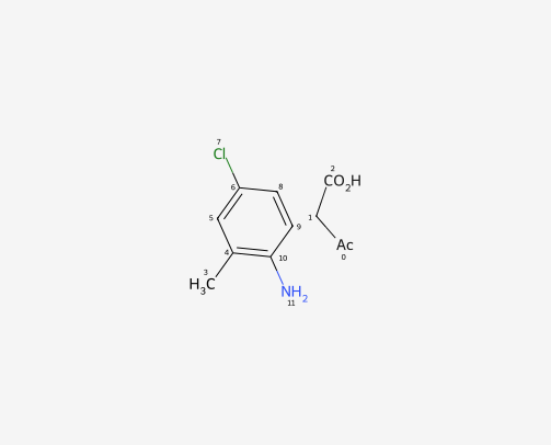 CC(=O)CC(=O)O.Cc1cc(Cl)ccc1N